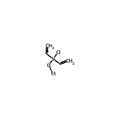 C=C[Si](Cl)(C=C)OCC